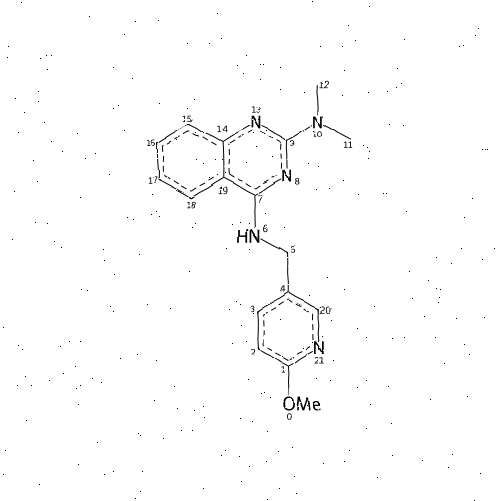 COc1ccc(CNc2nc(N(C)C)nc3ccccc23)cn1